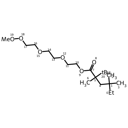 CCC(C)(C)CC(C)(C(=O)OCCOCCOCCOOC)C(C)(C)C